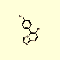 N#Cc1ccc(-c2c(Br)ccc3nccn23)cc1